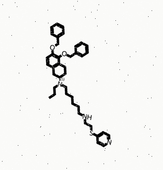 CCCN(CCCCCCNCCSc1ccncc1)[C@H]1CCc2c(ccc(OCc3ccccc3)c2OCc2ccccc2)C1